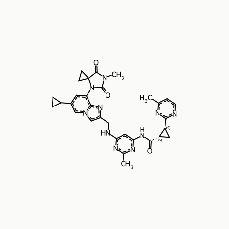 Cc1ccnc([C@H]2C[C@@H]2C(=O)Nc2cc(NCc3cn4cc(C5CC5)cc(N5C(=O)N(C)C(=O)C56CC6)c4n3)nc(C)n2)n1